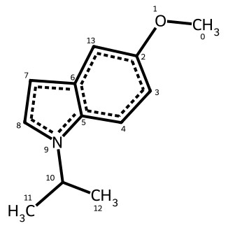 COc1ccc2c(ccn2C(C)C)c1